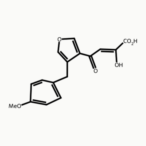 COc1ccc(Cc2cocc2C(=O)C=C(O)C(=O)O)cc1